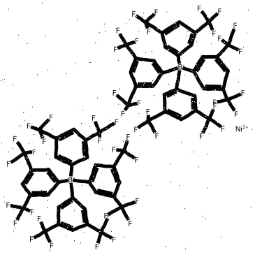 FC(F)(F)c1cc([B-](c2cc(C(F)(F)F)cc(C(F)(F)F)c2)(c2cc(C(F)(F)F)cc(C(F)(F)F)c2)c2cc(C(F)(F)F)cc(C(F)(F)F)c2)cc(C(F)(F)F)c1.FC(F)(F)c1cc([B-](c2cc(C(F)(F)F)cc(C(F)(F)F)c2)(c2cc(C(F)(F)F)cc(C(F)(F)F)c2)c2cc(C(F)(F)F)cc(C(F)(F)F)c2)cc(C(F)(F)F)c1.[Ni+2]